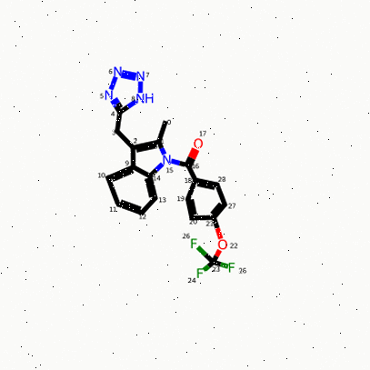 Cc1c(Cc2nnn[nH]2)c2ccccc2n1C(=O)c1ccc(OC(F)(F)F)cc1